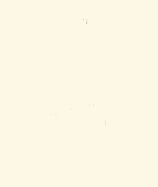 N#Cc1ccc(S(=O)(=O)c2ccccc2Br)s1